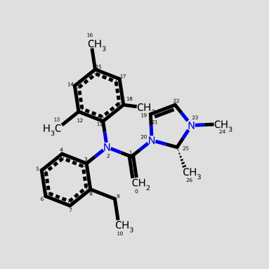 C=C(N(c1ccccc1CC)c1c(C)cc(C)cc1C)N1C=CN(C)[C@@H]1C